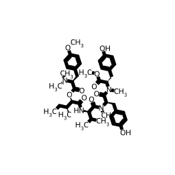 CC[C@@H](C)[C@H](OC(=O)[C@H](Cc1ccc(OC)cc1)N(C)C)C(=O)N[C@@H](C(=O)N(C)[C@H](Cc1ccc(O)cc1)C(=O)N(C)[C@@H](Cc1ccc(O)cc1)C(=O)OC)C(C)C